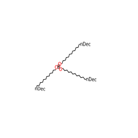 CCCCCCCCCCCCCCCCCCCCCCOB(OCCCCCCCCCCCCCCCCCCCCCC)OCCCCCCCCCCCCCCCCCCCCCC